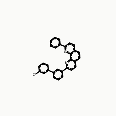 Clc1cccc(-c2cccc(-c3ccc4ccc5ccc(-c6ccccc6)nc5c4n3)c2)c1